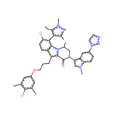 Cc1cc(OCCCc2c3n(c4c(-c5c(C)nn(C)c5C)c(Cl)ccc24)C(C)CN(c2cn(C)c4ccc(-n5ccnn5)cc24)C3=O)cc(C)c1Cl